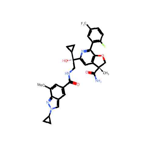 COc1cc(C(=O)NC[C@](O)(c2cc3c(c(-c4cc(C(F)(F)F)ccc4F)n2)OC[C@]3(C)C(N)=O)C2CC2)cc2cn(C3CC3)nc12